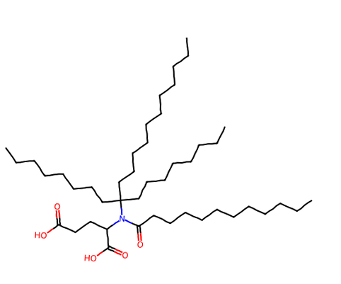 CCCCCCCCCCCC(=O)N(C(CCC(=O)O)C(=O)O)C(CCCCCCCC)(CCCCCCCC)CCCCCCCCCCC